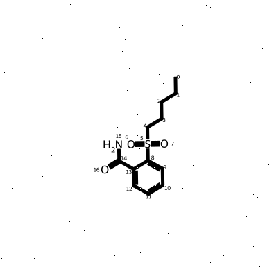 CCCCCS(=O)(=O)c1ccccc1C(N)=O